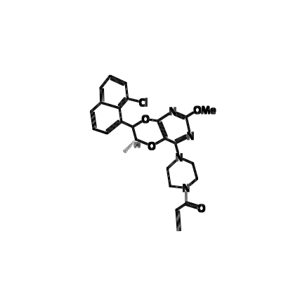 C=CC(=O)N1CCN(c2nc(OC)nc3c2O[C@H](C)C(c2cccc4cccc(Cl)c24)O3)CC1